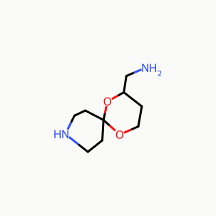 NCC1CCOC2(CCNCC2)O1